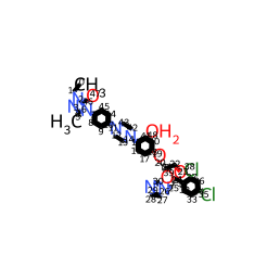 CCn1nc(C)n(-c2ccc(N3CCN(c4ccc(OC[C@@H]5CO[C@@](Cn6ccnc6)(c6ccc(Cl)cc6Cl)O5)cc4)CC3)cc2)c1=O.O